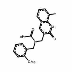 CCCC(=O)N(Cc1ccccc1OC)Cc1cc2cccc(C)c2[nH]c1=O